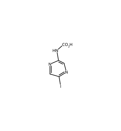 O=C(O)Nc1cnc(I)cn1